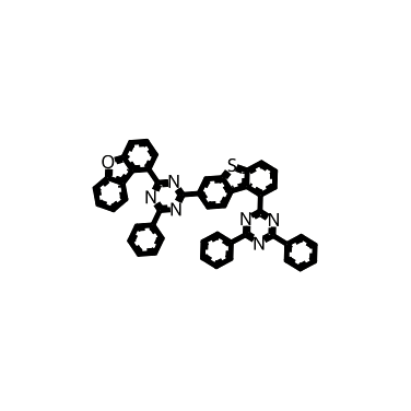 c1ccc(-c2nc(-c3ccc4c(c3)sc3cccc(-c5nc(-c6ccccc6)nc(-c6ccccc6)n5)c34)nc(-c3cccc4oc5ccccc5c34)n2)cc1